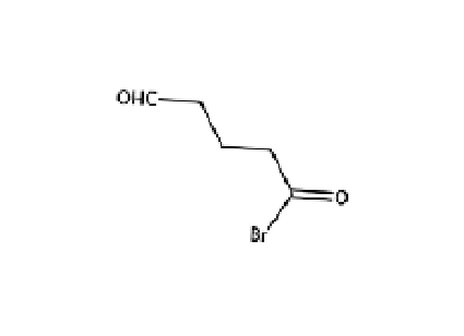 O=CCCCC(=O)Br